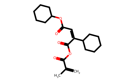 C=C(C)C(=O)OC(=O)/C(=C\C(=O)OC1CCCCC1)C1CCCCC1